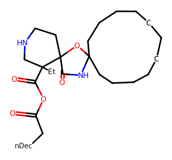 CCCCCCCCCCCC(=O)OC(=O)C1(CC)CNCCC12OC1(CCCCCCCCCCC1)NC2=O